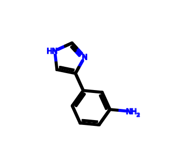 Nc1cccc(-c2c[nH]cn2)c1